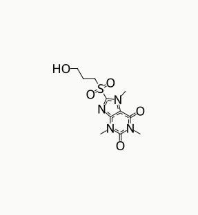 Cn1c(=O)c2c(nc(S(=O)(=O)CCCO)n2C)n(C)c1=O